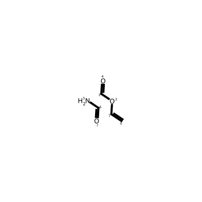 C=COC=O.NC=O